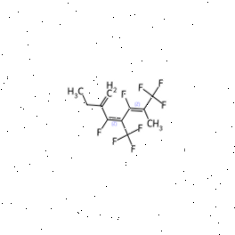 C=C(CC)/C(F)=C(\C(F)=C(/C)C(F)(F)F)C(F)(F)F